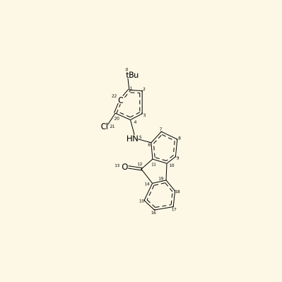 CC(C)(C)c1ccc(Nc2cccc3c2C(=O)c2ccccc2-3)c(Cl)c1